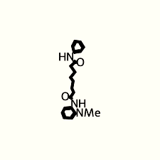 CNc1ccccc1NC(=O)CCCCCCC(=O)Nc1ccccc1